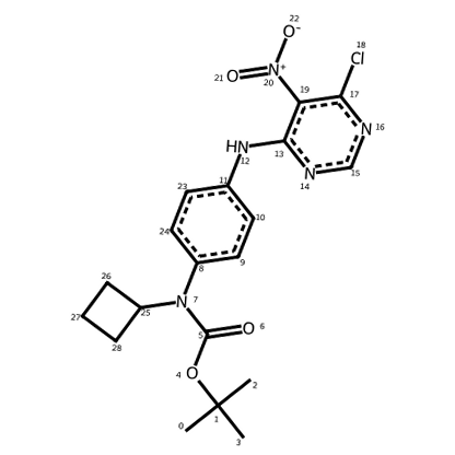 CC(C)(C)OC(=O)N(c1ccc(Nc2ncnc(Cl)c2[N+](=O)[O-])cc1)C1CCC1